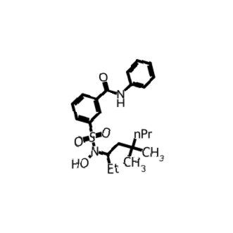 CCCC(C)(C)CC(CC)N(O)S(=O)(=O)c1cccc(C(=O)Nc2ccccc2)c1